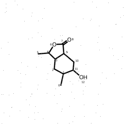 CC1CC2C(C)OC(=O)C2CC1O